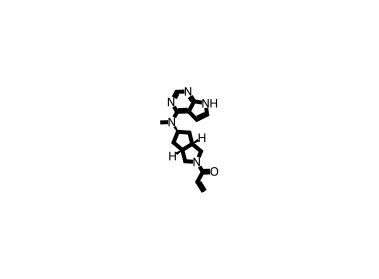 C=CC(=O)N1C[C@H]2C[C@H](N(C)c3ncnc4[nH]ccc34)C[C@H]2C1